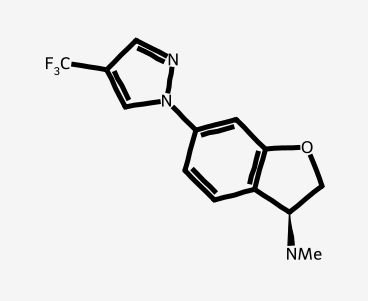 CN[C@@H]1COc2cc(-n3cc(C(F)(F)F)cn3)ccc21